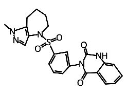 Cn1ncc2c1CCCCN2S(=O)(=O)c1cccc(-n2c(=O)[nH]c3ccccc3c2=O)c1